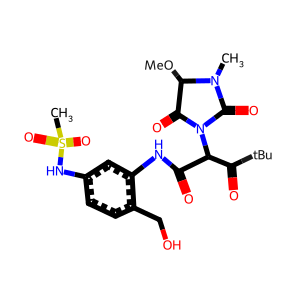 COC1C(=O)N(C(C(=O)Nc2cc(NS(C)(=O)=O)ccc2CO)C(=O)C(C)(C)C)C(=O)N1C